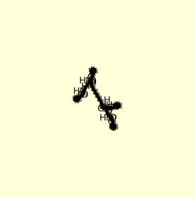 O=C(NCCCC[C@H](NC(=O)OCc1ccccc1)C(=O)NCCCCCCCCCCNC(=O)[C@H](CCCCNC(=O)OCc1ccccc1)NC(=O)OCc1ccccc1)OCc1ccccc1